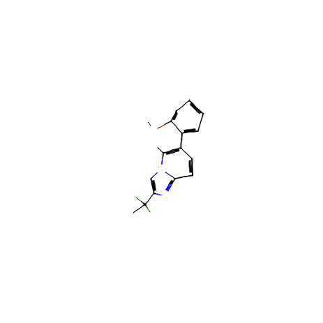 CCSc1ccccc1-c1ccc2nc(C(C)(F)F)cn2c1C